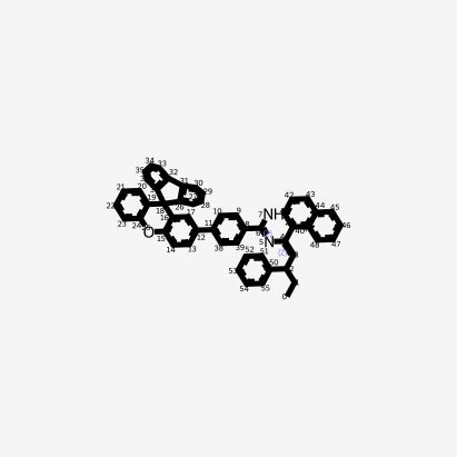 CCC(/C=C(\N=C(/N)c1ccc(-c2ccc3c(c2)C2(c4ccccc4O3)c3ccccc3-c3ccccc32)cc1)c1cccc2ccccc12)c1ccccc1